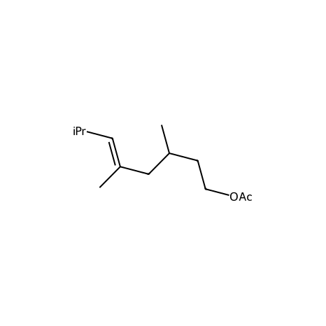 CC(=O)OCCC(C)CC(C)=CC(C)C